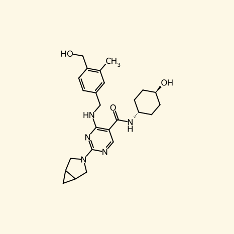 Cc1cc(CNc2nc(N3CC4CC4C3)ncc2C(=O)N[C@H]2CC[C@H](O)CC2)ccc1CO